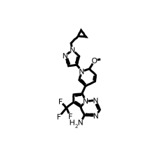 COC1C=CC(c2cc(C(F)(F)F)c3c(N)ncnn23)=CN1c1cnn(CC2CC2)c1